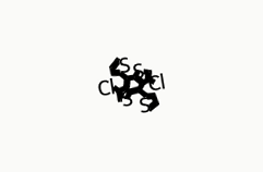 Clc1csc2c(-c3cccs3)c3c(Cl)csc3c(-c3cccs3)c12